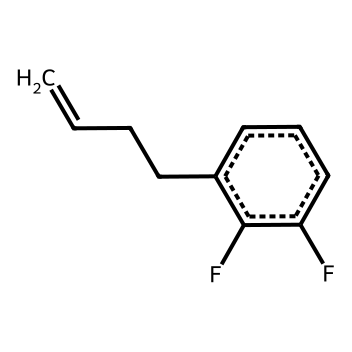 C=CCCc1cccc(F)c1F